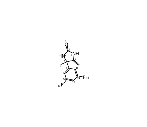 C=C1NC(=O)NC1(C)c1cc(F)cc(F)c1